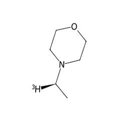 [3H][C@H](C)N1CCOCC1